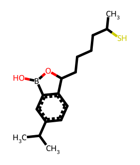 CC(S)CCCCC1OB(O)c2cc(C(C)C)ccc21